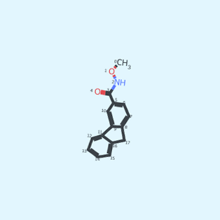 CONC(=O)c1ccc2c(c1)-c1ccccc1C2